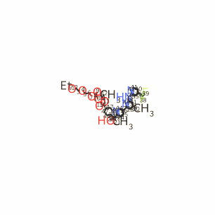 CCOCCOCCOC(=O)OC(C)OC(=O)[C@H]1CC[C@H]([C@@](C)(O)c2ccc(-c3cc(C)cc(Nc4cc(C(F)F)ccn4)n3)cn2)CC1